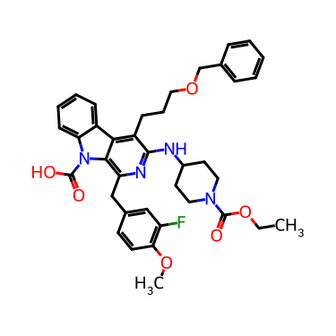 CCOC(=O)N1CCC(Nc2nc(Cc3ccc(OC)c(F)c3)c3c(c2CCCOCc2ccccc2)c2ccccc2n3C(=O)O)CC1